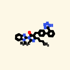 CCCCc1nc(C)n(C2=NC3C=CC=CC3N2C)c(=O)c1Cc1ccc(-c2ccccc2-c2nnn[nH]2)cc1